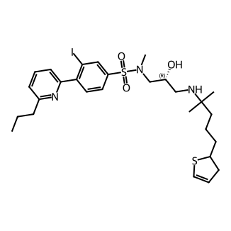 CCCc1cccc(-c2ccc(S(=O)(=O)N(C)C[C@H](O)CNC(C)(C)CCCC3CC=CS3)cc2I)n1